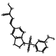 COC(=O)/C=C/c1cnc2c(c1)CCN2S(=O)(=O)c1cccc(OC)c1